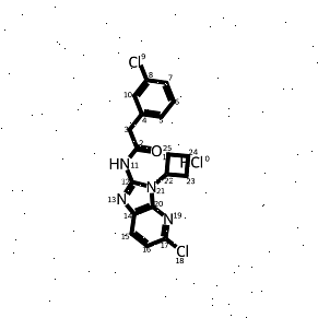 Cl.O=C(Cc1cccc(Cl)c1)Nc1nc2ccc(Cl)nc2n1C1CCC1